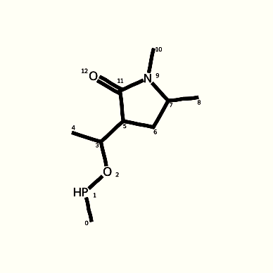 CPOC(C)C1CC(C)N(C)C1=O